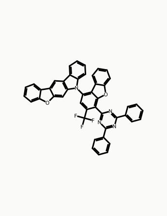 FC(F)(F)c1cc(-n2c3ccccc3c3cc4c(cc32)oc2ccccc24)c2c(oc3ccccc32)c1-c1nc(-c2ccccc2)nc(-c2ccccc2)n1